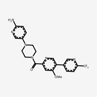 COc1cc(C(=O)N2CCN(c3ccc(N)nc3)CC2)ncc1-c1ccc(C(F)(F)F)nc1